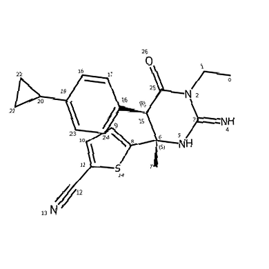 CCN1C(=N)N[C@](C)(c2ccc(C#N)s2)[C@@H](c2ccc(C3CC3)cc2)C1=O